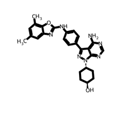 Cc1cc(C)c2oc(Nc3ccc(-c4nn([C@H]5CC[C@H](O)CC5)c5ncnc(N)c45)cc3)nc2c1